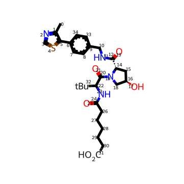 Cc1ncsc1-c1ccc(CNC(=O)[C@@H]2C[C@@H](O)CN2C(=O)C(NC(=O)CCCCCC(=O)O)C(C)(C)C)cc1